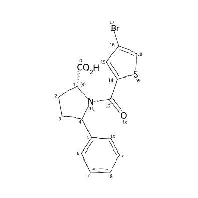 O=C(O)[C@H]1CCC(c2ccccc2)N1C(=O)c1cc(Br)cs1